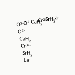 [CaH2].[CaH2].[Cr+3].[Cr+3].[La].[La].[O-2].[O-2].[O-2].[SrH2].[SrH2]